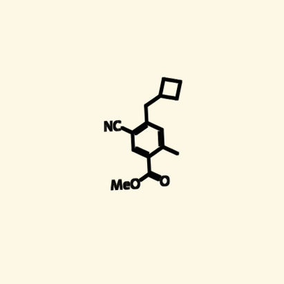 COC(=O)c1cc(C#N)c(CC2CCC2)cc1C